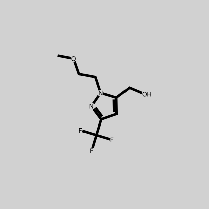 COCCn1nc(C(F)(F)F)cc1CO